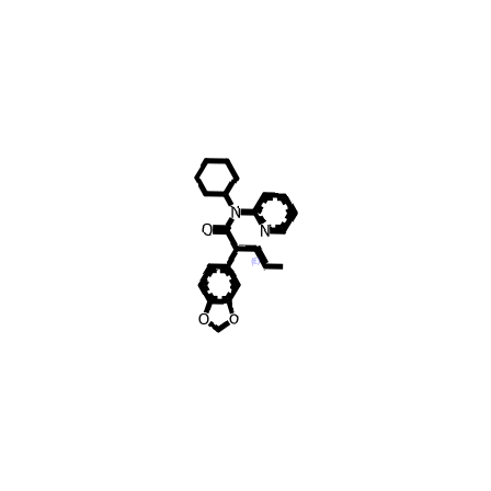 C/C=C/C(C(=O)N(c1ccccn1)C1CCCCC1)c1ccc2c(c1)OCO2